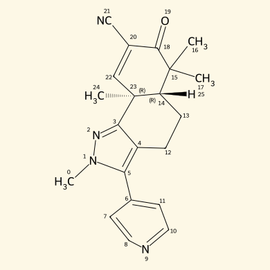 Cn1nc2c(c1-c1ccncc1)CC[C@H]1C(C)(C)C(=O)C(C#N)=C[C@]21C